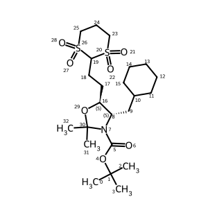 CC(C)(C)OC(=O)N1[C@@H](CC2CCCCC2)[C@H](CCC2S(=O)(=O)CCCS2(=O)=O)OC1(C)C